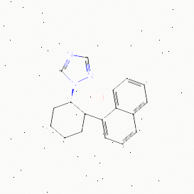 O[C@]1(c2cccc3ccccc23)CCCC[C@H]1n1cncn1